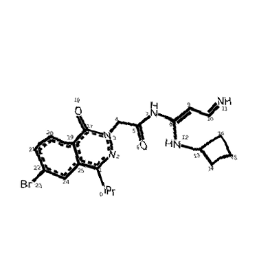 CC(C)c1nn(CC(=O)N/C(=C/C=N)NC2CCC2)c(=O)c2ccc(Br)cc12